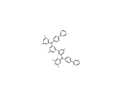 Cc1cc(C)cc(N(c2ccc(-c3ccccc3)cc2)c2cc(C)cc(-c3cc(C)cc(N(c4ccc(-c5ccccc5)cc4)c4cc(C)cc(C)c4)c3)c2)c1